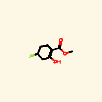 COC(=O)C1=C(O)CC(F)CC1